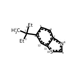 CCC(C)(CC)c1ccc2ncsc2c1